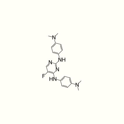 CN(C)c1ccc(Nc2ncc(F)c(Nc3ccc(N(C)C)cc3)n2)cc1